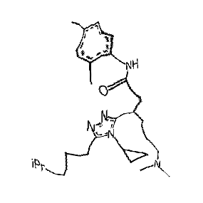 Cc1ccc(NC(=O)CC(CCCN(C)C)c2nnc(CCCC(C)C)n2C2CC2)c(C)c1